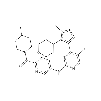 Cc1ncc(-c2nc(Nc3ccc(C(=O)N4CCC(C)CC4)nc3)ncc2F)n1C1CCOCC1